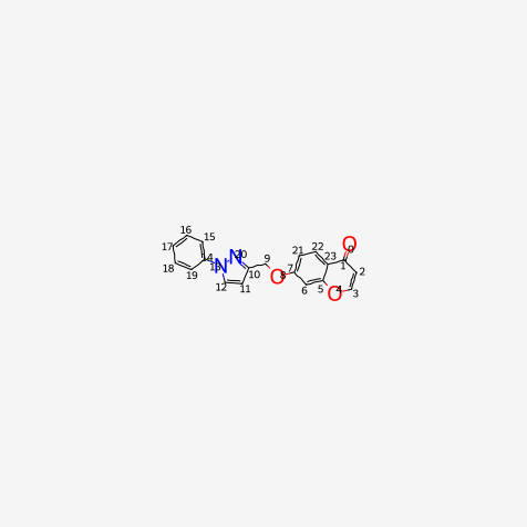 O=c1ccoc2cc(OCc3ccn(-c4ccccc4)n3)ccc12